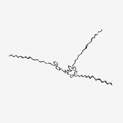 CCCCCCCCC=CCCCCCCCC(=O)OCCN(CCOC(=O)CCCCCCCC=CCCCCCCCC)CCOC(=O)CCCCCCCC=CCCCCCCCC